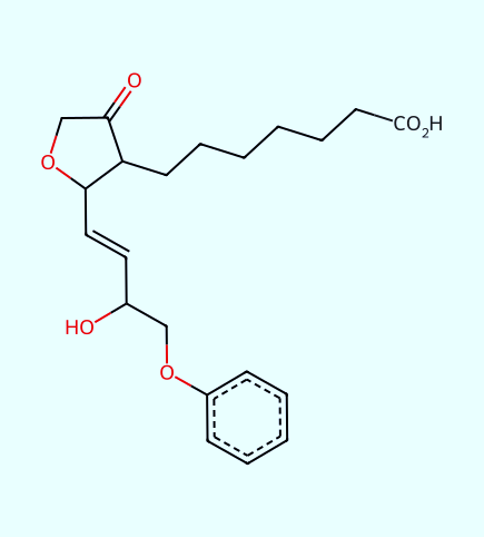 O=C(O)CCCCCCC1C(=O)COC1C=CC(O)COc1ccccc1